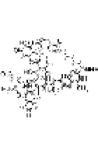 CC(=O)N[C@H](CCCCCNC(=O)c1ccc(C(=O)O)c(-c2c3ccc(=O)cc-3oc3cc(O)ccc23)c1)C(=O)N[C@H](C)C(=O)N[C@H](C)C(=O)N[C@H](C)C(=O)N[C@H](CO)C(=O)N[C@H](Cc1c[nH]cn1)C(=O)N[C@H](CCC(=O)O)C(N)=O